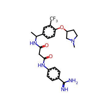 CC(NC(=O)CC(=O)Nc1ccc(C(=N)N)cc1)c1ccc(OC2CCN(C)C2)c(C(F)(F)F)c1